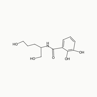 O=C(NC(CO)CCCO)c1cccc(O)c1O